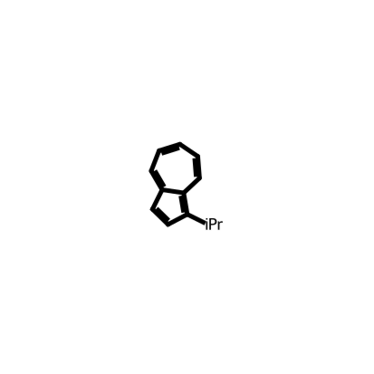 CC(C)c1ccc2cccccc1-2